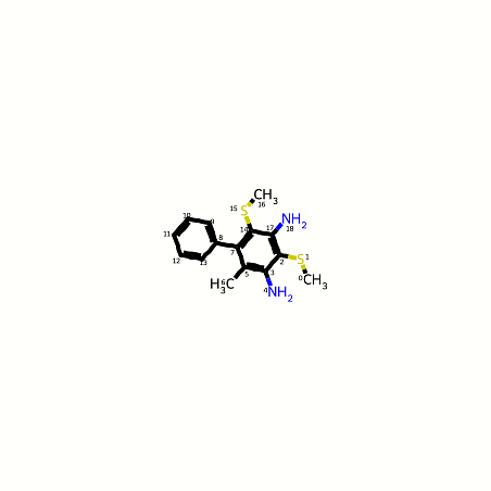 CSc1c(N)c(C)c(-c2ccccc2)c(SC)c1N